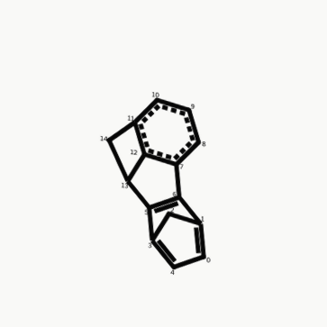 C1=C2CC(=C1)C1=C2c2cccc3c2C1C3